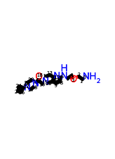 NCCOCCNc1ccc2c(n1)CCN(CC(=O)N1CCN(C3CCC3)CC1)C2